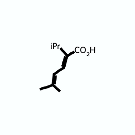 CC(C)=CC=C(C(=O)O)C(C)C